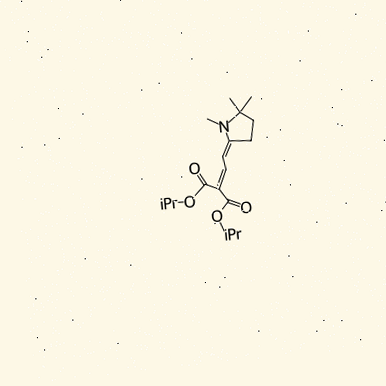 CC(C)OC(=O)C(=C/C=C1\CCC(C)(C)N1C)C(=O)OC(C)C